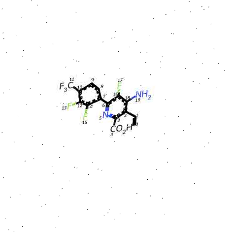 C=Cc1c(C(=O)O)nc(-c2ccc(C(F)(F)F)c(F)c2F)c(F)c1N